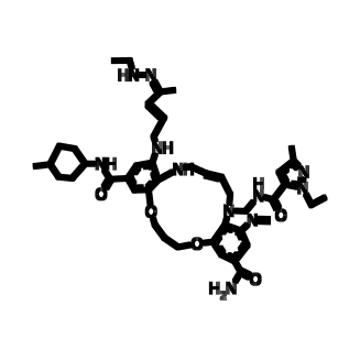 C=Nc1cc(C(N)=O)cc2c1N(CNC(=O)c1cc(C)nn1CC)C/C=C/CNc1c(NC/C=C/C(C)=N\NCC)cc(C(=O)NC3CCC(C)CC3)cc1OCCCO2